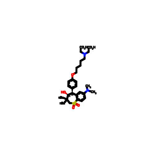 CCCCC1(CCCC)CS(=O)(=O)c2ccc(N(C)C)cc2[C@@H](c2ccc(OCCCCCN(CC(=O)O)CC(=O)O)cc2)[C@H]1O